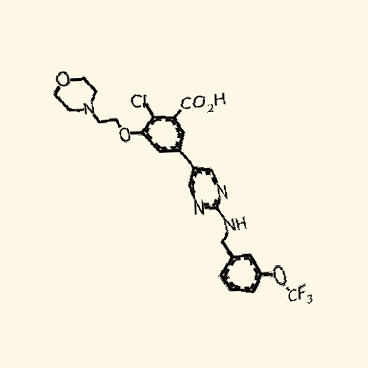 O=C(O)c1cc(-c2cnc(NCc3cccc(OC(F)(F)F)c3)nc2)cc(OCCN2CCOCC2)c1Cl